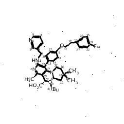 Cc1nc(NCc2cccnc2)c(-c2ccc(OCCc3ccc(F)cc3)cc2)c(N2CCC(C)(C)CC2)c1[C@H](OC(C)(C)C)C(=O)O